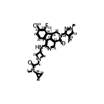 CN(C(=O)CN1CC(Nc2ncc3c(c2F)[C@@](C)(c2cccc(Cl)c2F)CN(c2nn(C)cc2F)C3=O)C1)C1CC1